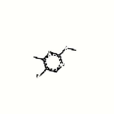 CSc1ncc(Br)c(C)n1